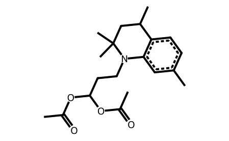 CC(=O)OC(CCN1c2cc(C)ccc2C(C)CC1(C)C)OC(C)=O